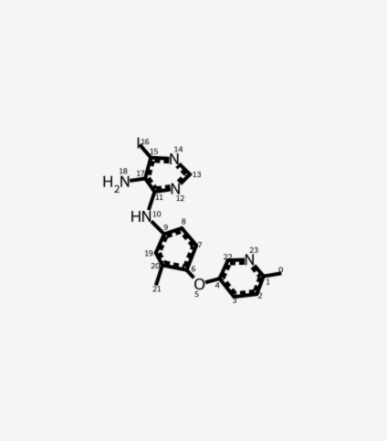 Cc1ccc(Oc2ccc(Nc3ncnc(I)c3N)cc2C)cn1